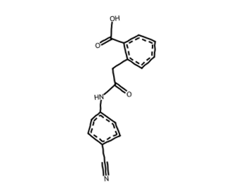 N#Cc1ccc(NC(=O)Cc2ccccc2C(=O)O)cc1